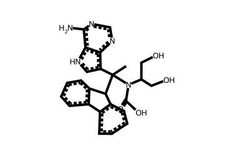 CC(c1c[nH]c2c(N)ncnc12)(C1c2ccccc2-c2ccccc21)N(C(=O)O)C(CO)CO